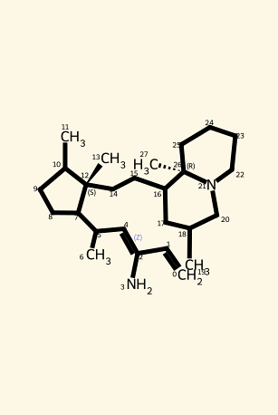 C=C/C(N)=C/C(C)C1CCC(C)[C@]1(C)CCC1CC(C)CN2CCCC[C@]12C